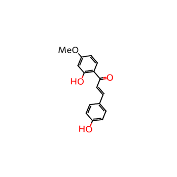 COc1ccc(C(=O)C=Cc2ccc(O)cc2)c(O)c1